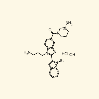 CCn1c(-c2nc3cc(C(=O)N4CCC[C@@H](N)C4)ccc3n2CCCN)cc2ccccc21.Cl.Cl